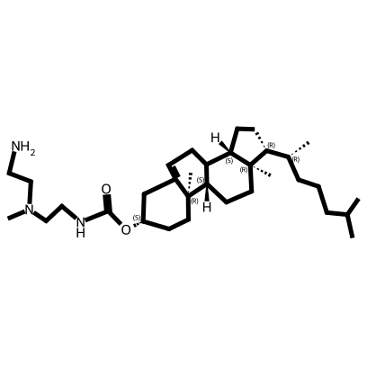 CC(C)CCC[C@@H](C)[C@H]1CC[C@H]2C3CC=C4C[C@@H](OC(=O)NCCN(C)CCN)CC[C@]4(C)[C@H]3CC[C@]12C